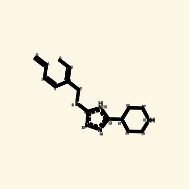 C=C/C=C\C(=C/C)CSc1nnc(C2CCNCC2)[nH]1